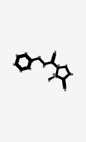 C[C@H]1C(=O)OCN1C(=O)OCc1ccccc1